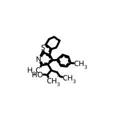 C[CH]CC(c1c(C)nc2sc3c(c2c1-c1ccc(C)cc1)CCCC3)C(C)O